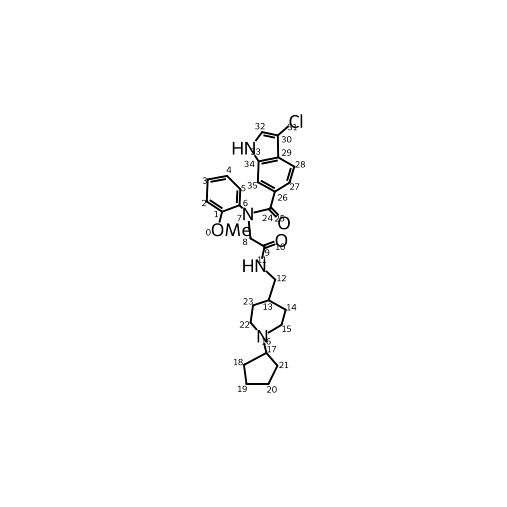 COc1ccccc1N(CC(=O)NCC1CCN(C2CCCC2)CC1)C(=O)c1ccc2c(Cl)c[nH]c2c1